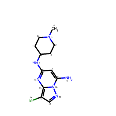 CN1CCC(Nc2cc(N)n3ncc(Br)c3n2)CC1